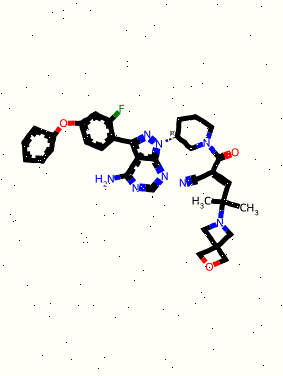 CC(C)(C=C(C#N)C(=O)N1CCC[C@@H](n2nc(-c3ccc(Oc4ccccc4)cc3F)c3c(N)ncnc32)C1)N1CC2(COC2)C1